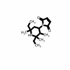 CCC1(C)CC(N2C(=O)C=CC2=O)C(C)C(C)(CC)N1